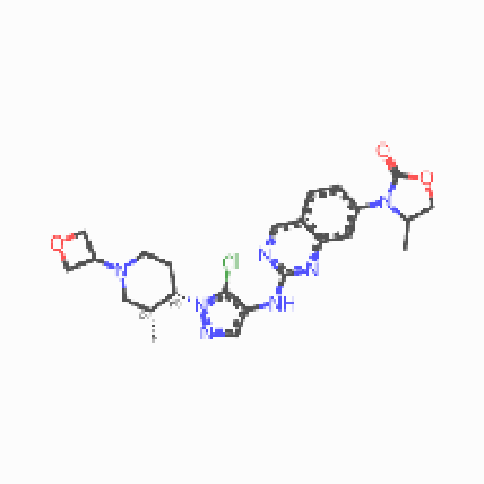 CC1COC(=O)N1c1ccc2cnc(Nc3cnn([C@H]4CCN(C5COC5)C[C@H]4C)c3Cl)nc2c1